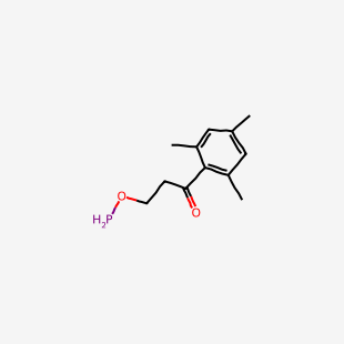 Cc1cc(C)c(C(=O)CCOP)c(C)c1